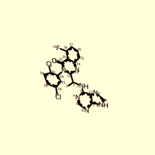 CC(Nc1ncnc2[nH]cnc12)c1nc2cccc(F)c2c(=O)n1-c1cc(Cl)ccc1Cl